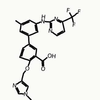 Cc1cc(Nc2nccc(C(F)(F)F)n2)cc(-c2ccc(OCc3cn(C)cn3)c(C(=O)O)c2)c1